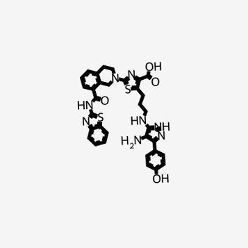 Nc1c(-c2ccc(O)cc2)n[nH]c1NCCCc1sc(N2CCc3cccc(C(=O)Nc4nc5ccccc5s4)c3C2)nc1C(=O)O